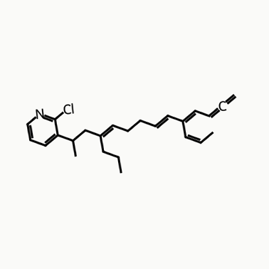 C=C=C/C=C(\C=C/C)/C=C/CC/C=C(\CCC)CC(C)c1cccnc1Cl